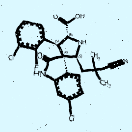 CC(C)(C#N)C[C@@H]1N[C@@H](C(=O)O)[C@H](c2cccc(Cl)c2F)[C@]12C(=O)Nc1cc(Cl)ccc12